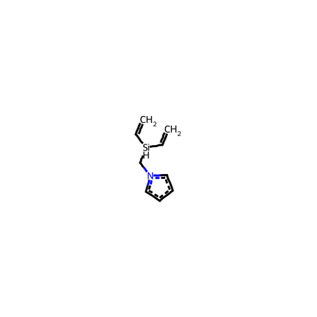 C=C[SiH](C=C)Cn1cccc1